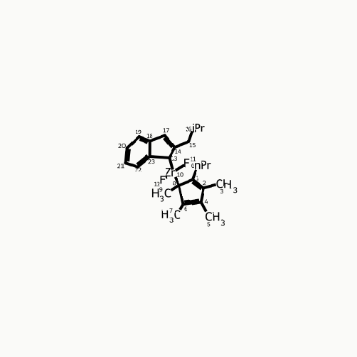 CCCC1=C(C)C(C)=C(C)[C]1(C)[Zr]([F])([F])[CH]1C(CC(C)C)=Cc2ccccc21